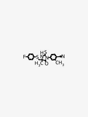 Cc1cc(N2C(=O)C(C)(CSc3ccc(F)cc3)NC2=S)ccc1C#N